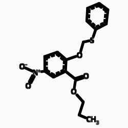 CCCOC(=O)c1cc([N+](=O)[O-])ccc1OCSc1ccccc1